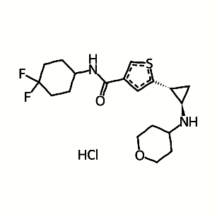 Cl.O=C(NC1CCC(F)(F)CC1)c1csc([C@@H]2C[C@H]2NC2CCOCC2)c1